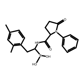 Cc1ccc(CC(NC(=O)C2CCC(=O)N2c2ccccc2)B(O)O)c(C)c1